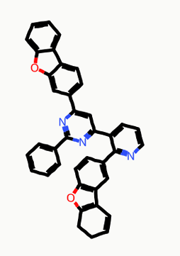 C1=Cc2c(oc3ccc(-c4ncccc4-c4cc(-c5ccc6c(c5)oc5ccccc56)nc(-c5ccccc5)n4)cc23)CC1